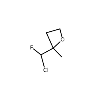 CC1(C(F)Cl)CCO1